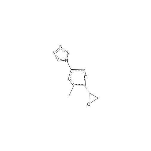 Cc1cc(-n2cnnn2)ccc1[C@@H]1CO1